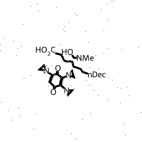 CCCCCCCCCCCCCCCCCC(=O)O.CNCO.O=C1C=C(N2CC2)C(=O)C(N2CC2)=C1N1CC1